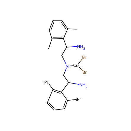 Cc1cccc(C)c1C(N)C[N](CC(N)c1c(C(C)C)cccc1C(C)C)[Co]([Br])[Br]